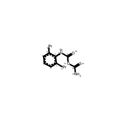 CC(C)c1cccc(C(C)C)c1NC(=O)OC(N)=S